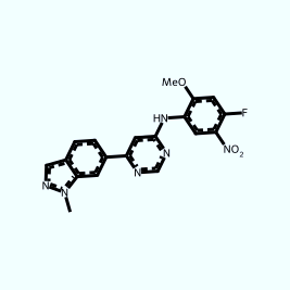 COc1cc(F)c([N+](=O)[O-])cc1Nc1cc(-c2ccc3cnn(C)c3c2)ncn1